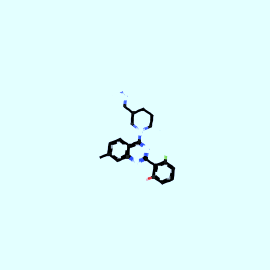 Cc1ccc2c(N3CCCC(CNC(=O)O)C3)nc(-c3c(O)cccc3F)nc2c1.Cl